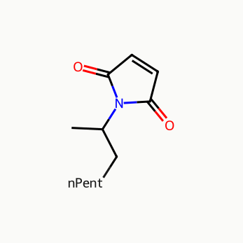 CCCCCCC(C)N1C(=O)C=CC1=O